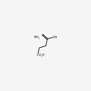 C=C(C#N)CCC(=O)O.N